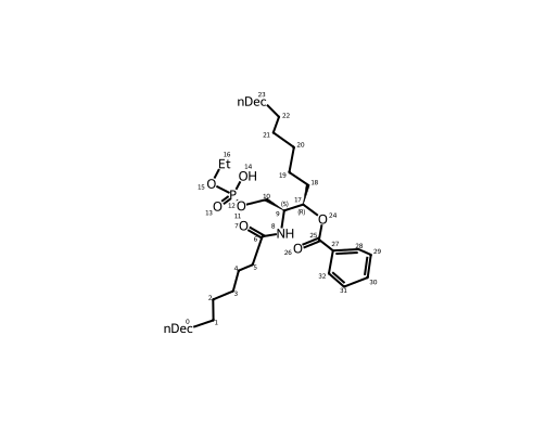 CCCCCCCCCCCCCCCC(=O)N[C@@H](COP(=O)(O)OCC)[C@@H](CCCCCCCCCCCCCCC)OC(=O)c1ccccc1